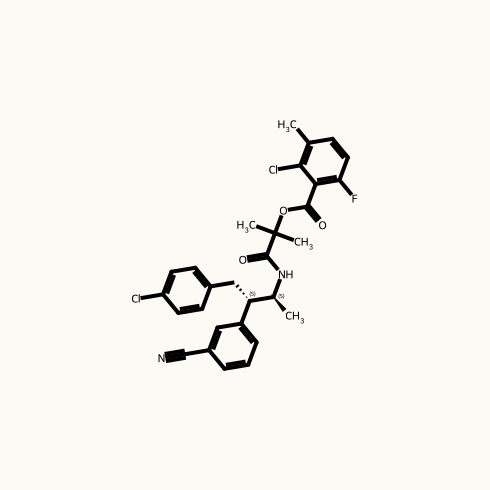 Cc1ccc(F)c(C(=O)OC(C)(C)C(=O)N[C@@H](C)[C@@H](Cc2ccc(Cl)cc2)c2cccc(C#N)c2)c1Cl